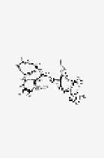 C=CCCC1([C@H](NC(=O)OCC2c3ccccc3-c3ccccc32)C(=O)O)COC1